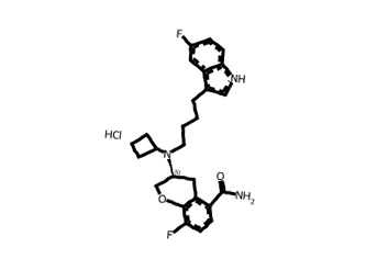 Cl.NC(=O)c1ccc(F)c2c1C[C@H](N(CCCCc1c[nH]c3ccc(F)cc13)C1CCC1)CO2